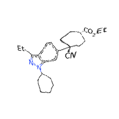 CCOC(=O)[C@H]1CC[C@@](C#N)(c2ccc3c(CC)nn(C4CCCCC4)c3c2)CC1